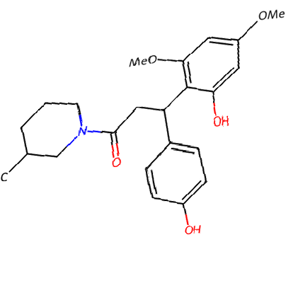 COc1cc(O)c(C(CC(=O)N2CCCC(C)C2)c2ccc(O)cc2)c(OC)c1